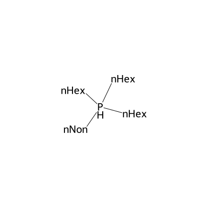 CCCCCCCCC[PH](CCCCCC)(CCCCCC)CCCCCC